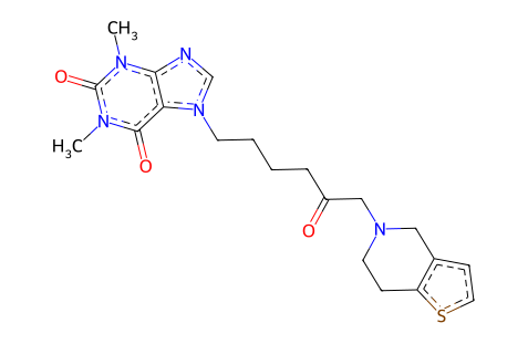 Cn1c(=O)c2c(ncn2CCCCC(=O)CN2CCc3sccc3C2)n(C)c1=O